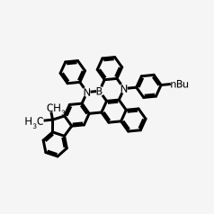 CCCCc1ccc(N2c3ccccc3B3c4c(cc5ccccc5c42)-c2cc4c(cc2N3c2ccccc2)C(C)(C)c2ccccc2-4)cc1